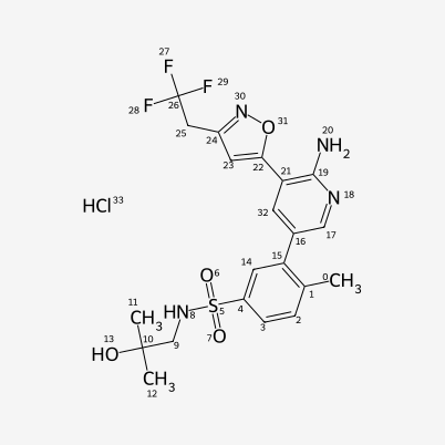 Cc1ccc(S(=O)(=O)NCC(C)(C)O)cc1-c1cnc(N)c(-c2cc(CC(F)(F)F)no2)c1.Cl